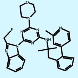 Cc1cc(-c2ccccc2CC(C)(C)Nc2nc(N3CCOCC3)nc(-n3c(CF)nc4ccccc43)n2)ccn1